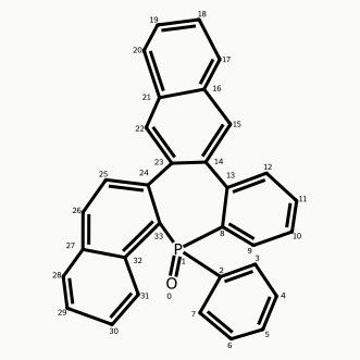 O=P1(c2ccccc2)c2ccccc2-c2cc3ccccc3cc2-c2ccc3ccccc3c21